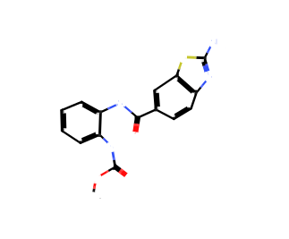 CC(C)(C)OC(=O)Nc1ccccc1NC(=O)c1ccc2nc(N)sc2c1